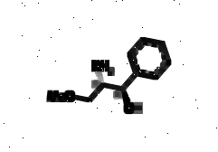 COC[C@H](N)[C@H](O)c1ccccc1